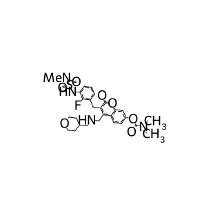 CNS(=O)(=O)Nc1cccc(Cc2c(CNCC3CCOCC3)c3ccc(OC(=O)N(C)C)cc3oc2=O)c1F